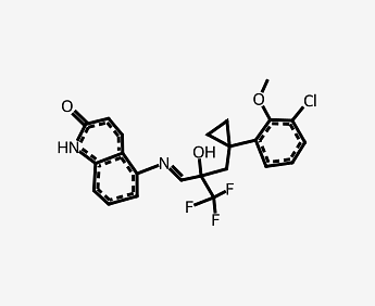 COc1c(Cl)cccc1C1(CC(O)(C=Nc2cccc3[nH]c(=O)ccc23)C(F)(F)F)CC1